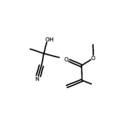 C=C(C)C(=O)OC.CC(C)(O)C#N